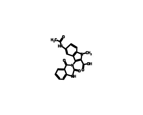 CC(=O)Nc1ccc2c(c1)c(-n1c(=O)[nH]c3ccccc3c1=O)c(C(=O)O)n2C